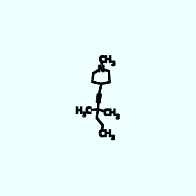 CCCC(C)(C)C#CC1CCN(C)CC1